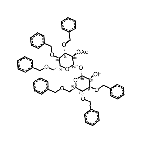 CC(=O)O[C@H]1[C@H](O[C@H]2O[C@H](COCc3ccccc3)[C@@H](OCc3ccccc3)[C@H](OCc3ccccc3)[C@@H]2O)O[C@H](COCc2ccccc2)[C@@H](OCc2ccccc2)[C@@H]1OCc1ccccc1